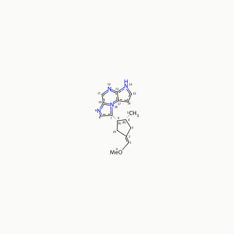 COC=C1C[C@@H](C)[C@@H](c2cnc3cnc4[nH]ccc4n23)C1